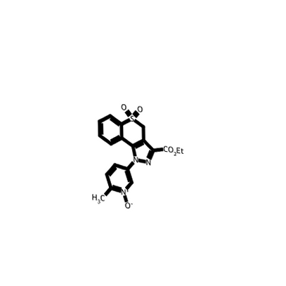 CCOC(=O)c1nn(-c2ccc(C)[n+]([O-])c2)c2c1CS(=O)(=O)c1ccccc1-2